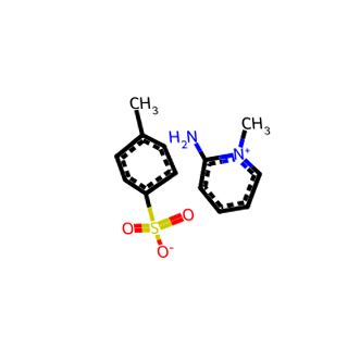 C[n+]1ccccc1N.Cc1ccc(S(=O)(=O)[O-])cc1